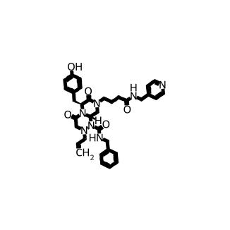 C=CCN1CC(=O)N2[C@@H](Cc3ccc(O)cc3)C(=O)N(CCCC(=O)NCc3ccncc3)C[C@@H]2N1C(=O)NCc1ccccc1